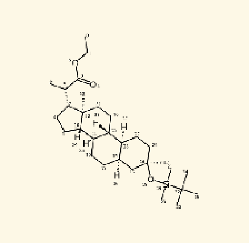 CCOC(=O)C(C)[C@H]1CC[C@H]2[C@@H]3CC[C@@H]4C[C@](C)(O[Si](C)(C)C(C)(C)C)CC[C@@H]4[C@H]3CC[C@]12C